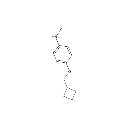 ClNc1ccc(OCC2CCC2)cc1